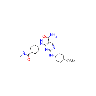 CO[C@H]1CC[C@H](Nc2ncc(C(N)=O)c(N[C@H]3CC[C@H](C(=O)N(C)C)CC3)n2)CC1